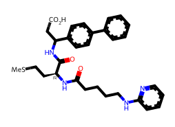 CSCC[C@H](NC(=O)CCCCNc1ccccn1)C(=O)NC(CC(=O)O)c1ccc(-c2ccccc2)cc1